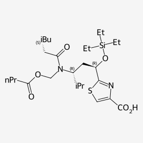 CCCC(=O)OCN(C(=O)C[C@@H](C)CC)[C@H](C[C@@H](O[Si](CC)(CC)CC)c1nc(C(=O)O)cs1)C(C)C